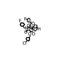 O=C(N[C@]12CC[C@H](CCn3c1nc(C(=O)NCc1ccc(F)cc1)c(OCc1ccc(Cl)cc1)c3=O)C2)C(=O)N1CC[C@@H](F)C1